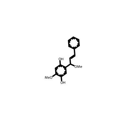 COc1cc(O)c(C(C=Cc2ccccc2)OC)cc1O